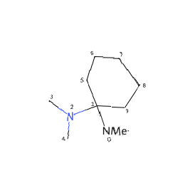 C[N]C1(N(C)C)CCCCC1